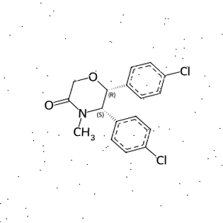 CN1C(=O)CO[C@H](c2ccc(Cl)cc2)[C@@H]1c1ccc(Cl)cc1